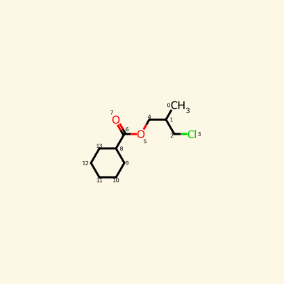 CC(CCl)COC(=O)C1CCCCC1